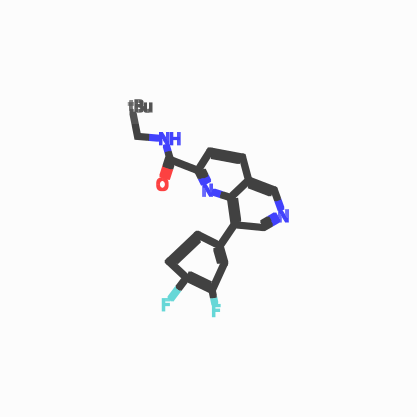 CC(C)(C)CNC(=O)c1ccc2cncc(-c3ccc(F)c(F)c3)c2n1